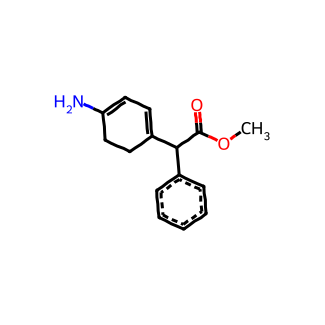 COC(=O)C(C1=CC=C(N)CC1)c1ccccc1